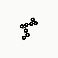 c1ccc2c(c1)sc1c(-c3ccc(-n4c5ccccc5c5ccc(-c6ccc7c8ccccc8c8ccccc8c7c6)cc54)cc3)cccc12